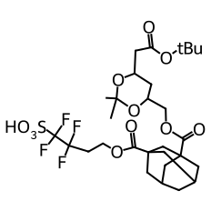 CC(C)(C)OC(=O)CC1CC(COC(=O)C23CC4CC(CC(C(=O)OCCC(F)(F)C(F)(F)S(=O)(=O)O)(C4)C2)C3)OC(C)(C)O1